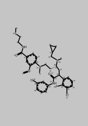 C=Nc1cc(C(=O)NCCSC)ccc1N(C)CC[C@@H](CC(C(=O)Nc1cccc(Cl)c1)c1cccc(Cl)c1F)N(C)CC1CC1